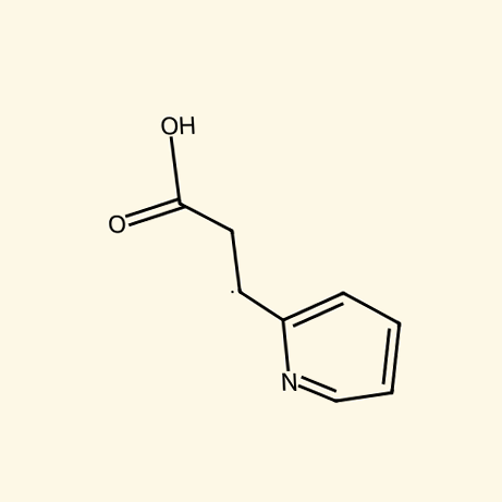 O=C(O)C[CH]c1ccccn1